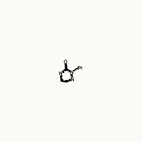 CC(C)n1nccnc1=O